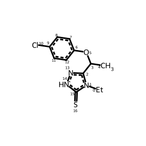 CCn1c(C(C)Oc2ccc(Cl)cc2)n[nH]c1=S